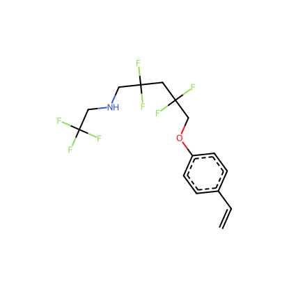 C=Cc1ccc(OCC(F)(F)CC(F)(F)CNCC(F)(F)F)cc1